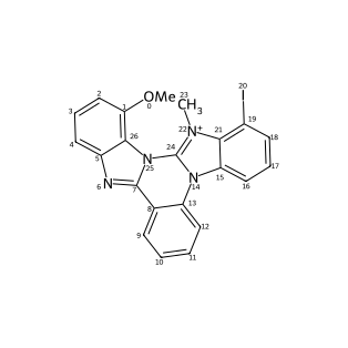 COc1cccc2nc3c4ccccc4n4c5cccc(I)c5[n+](C)c4n3c12